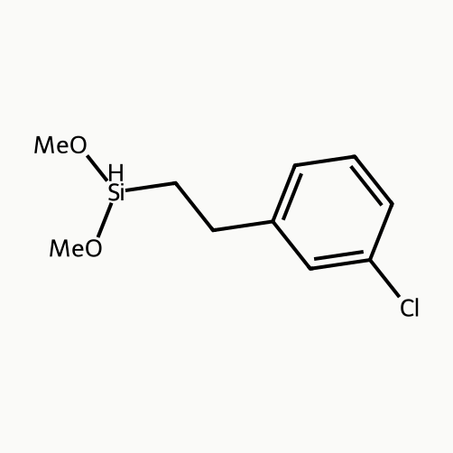 CO[SiH](CCc1cccc(Cl)c1)OC